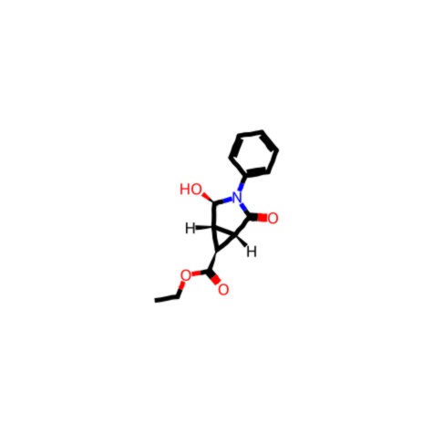 CCOC(=O)[C@@H]1[C@H]2C(=O)N(c3ccccc3)[C@H](O)[C@@H]12